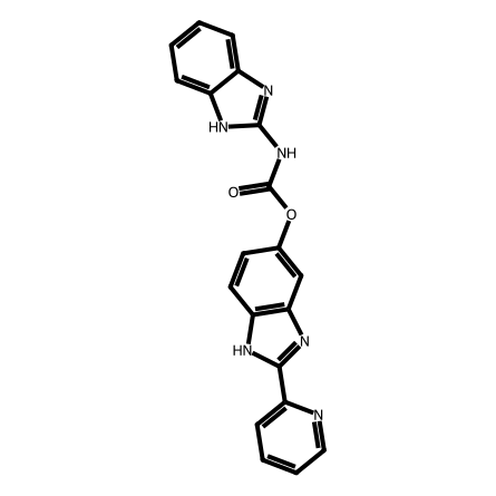 O=C(Nc1nc2ccccc2[nH]1)Oc1ccc2[nH]c(-c3ccccn3)nc2c1